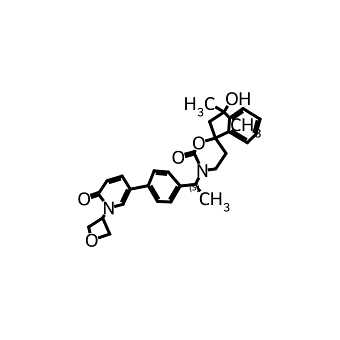 C[C@@H](c1ccc(-c2ccc(=O)n(C3COC3)c2)cc1)N1CCC(CC(C)(C)O)(c2ccccc2)OC1=O